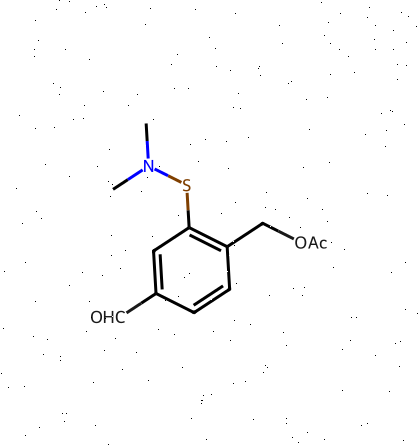 CC(=O)OCc1ccc(C=O)cc1SN(C)C